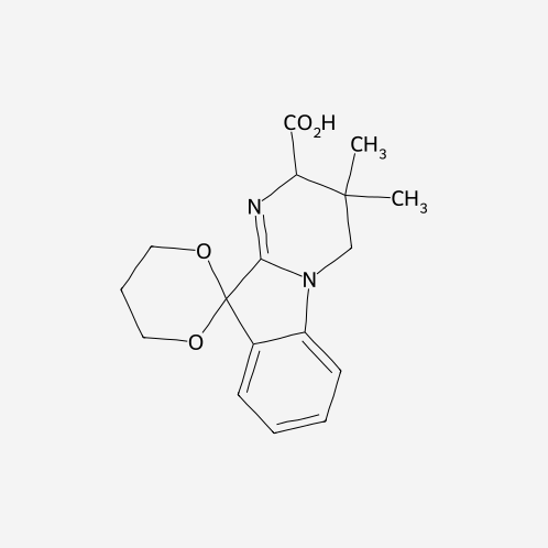 CC1(C)CN2C(=NC1C(=O)O)C1(OCCCO1)c1ccccc12